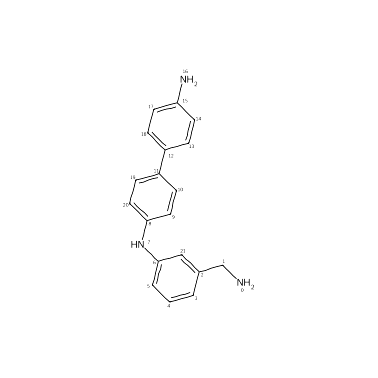 NCc1cccc(Nc2ccc(-c3ccc(N)cc3)cc2)c1